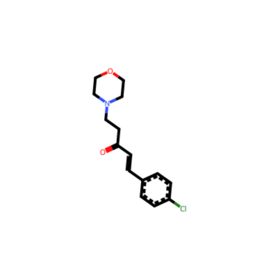 O=C(/C=C/c1ccc(Cl)cc1)CCN1CCOCC1